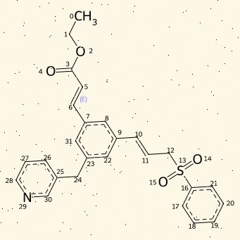 CCOC(=O)/C=C/c1cc(C=CCS(=O)(=O)c2ccccc2)cc(Cc2cccnc2)c1